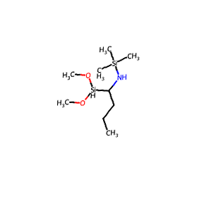 CCCC(N[Si](C)(C)C)[SiH](OC)OC